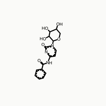 O=C(Nc1ccn(C2OCC(O)C(O)C2O)c(=O)n1)c1ccccc1